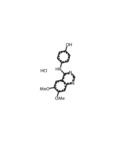 COc1cc2ncnc(Nc3ccc(O)cc3)c2cc1OC.Cl